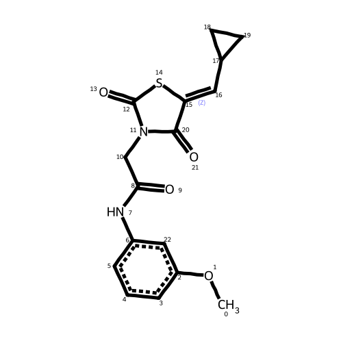 COc1cccc(NC(=O)CN2C(=O)S/C(=C\C3CC3)C2=O)c1